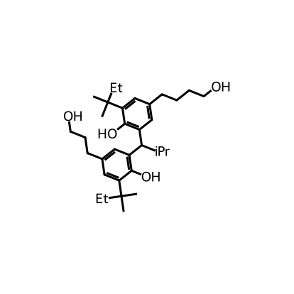 CCC(C)(C)c1cc(CCCO)cc(C(c2cc(CCCCO)cc(C(C)(C)CC)c2O)C(C)C)c1O